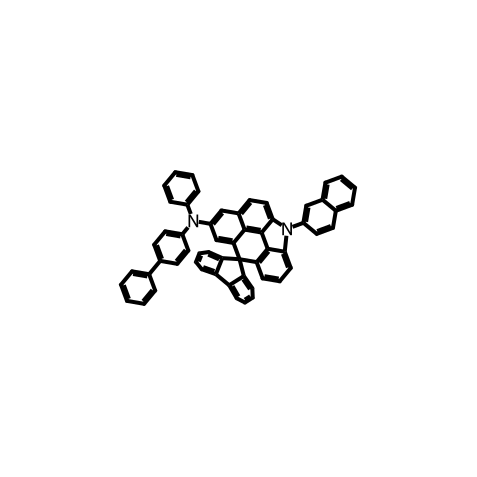 c1ccc(-c2ccc(N(c3ccccc3)c3cc4c5c(ccc6c5c5c(cccc5n6-c5ccc6ccccc6c5)C45c4ccccc4-c4ccccc45)c3)cc2)cc1